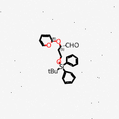 CC(C)(C)[Si](OCC[C@@H](C=O)O[C@@H]1C=CC=CO1)(c1ccccc1)c1ccccc1